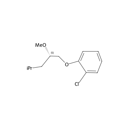 CO[C@H](COc1ccccc1Cl)CC(C)C